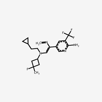 C=N/C(=C\N(CCC1CC1)C1CC(C)(F)C1)c1cnc(N)c(C(F)(F)F)c1